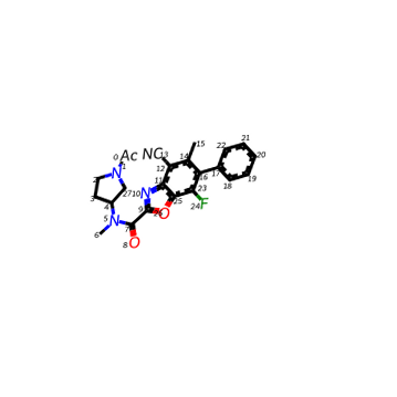 CC(=O)N1CCC(N(C)C(=O)c2nc3c(C#N)c(C)c(-c4ccccc4)c(F)c3o2)C1